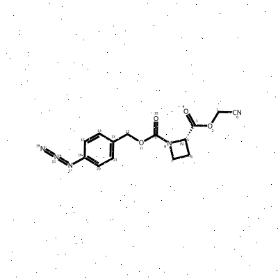 N#CCOC(=O)[C@@H]1CCN1C(=O)OCc1ccc(N=[N+]=[N-])cc1